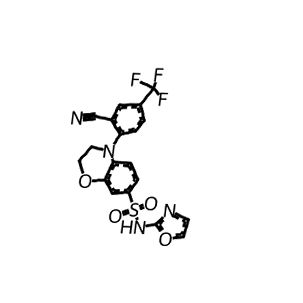 N#Cc1cc(C(F)(F)F)ccc1N1CCOc2cc(S(=O)(=O)Nc3ncco3)ccc21